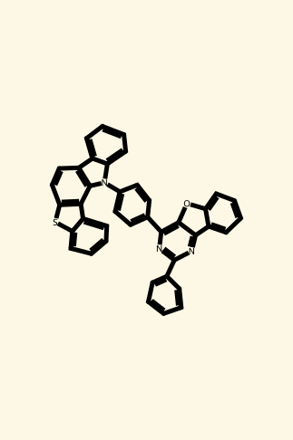 c1ccc(-c2nc(-c3ccc(-n4c5ccccc5c5ccc6sc7ccccc7c6c54)cc3)c3oc4ccccc4c3n2)cc1